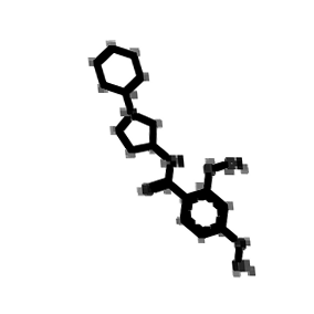 COc1ccc(C(=O)NC2CCN(C3CCCCC3)C2)c(OC)c1